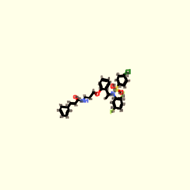 CC(c1ccccc1OCCCNC(=O)C=Cc1ccccc1)N(c1cc(F)ccc1F)S(=O)(=O)c1ccc(Cl)cc1